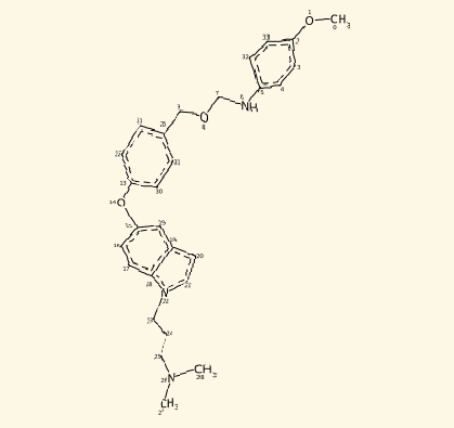 COc1ccc(NCOCc2ccc(Oc3ccc4c(ccn4CCCN(C)C)c3)cc2)cc1